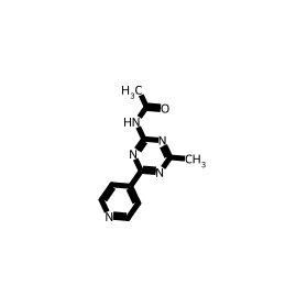 CC(=O)Nc1nc(C)nc(-c2ccncc2)n1